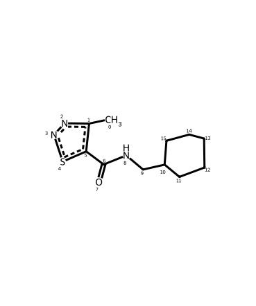 Cc1nnsc1C(=O)NCC1CCCCC1